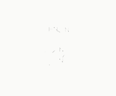 CCC1=NC(C(C)(C)C)C(C(C)(C)C)=C2CC(C(=N)N)CN12